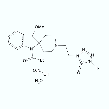 CCC(=O)N(c1ccccc1)C1(COC)CCN(CCn2nnn(C(C)C)c2=O)CC1.O.O=[N+]([O-])O